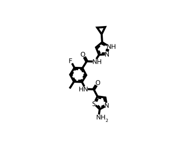 Cc1cc(F)c(C(=O)Nc2cc(C3CC3)[nH]n2)cc1NC(=O)c1cnc(N)s1